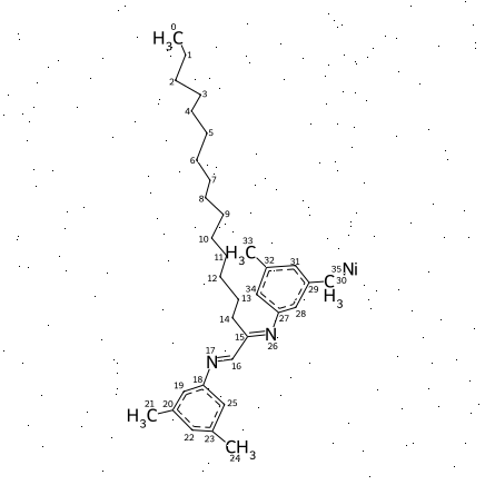 CCCCCCCCCCCCCCCC(/C=N/c1cc(C)cc(C)c1)=N\c1cc(C)cc(C)c1.[Ni]